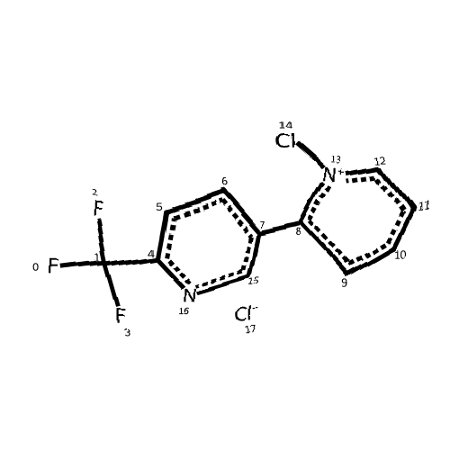 FC(F)(F)c1ccc(-c2cccc[n+]2Cl)cn1.[Cl-]